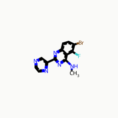 CNc1nc(-c2cnccn2)nc2ccc(Br)c(F)c12